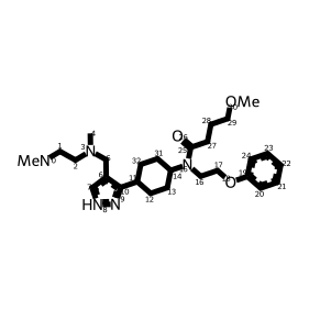 CNCCN(C)Cc1c[nH]nc1C1CCC(N(CCOc2ccccc2)C(=O)CCCOC)CC1